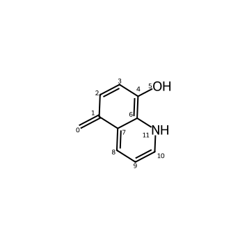 C=c1ccc(O)c2c1=CC=CN2